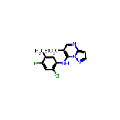 CCOC(=O)c1cnc2ccnn2c1Nc1cc(C)c(F)cc1Cl